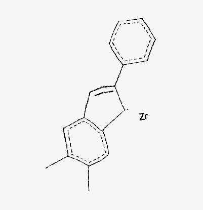 Cc1cc2c(cc1C)C=C(c1ccccc1)[CH]2.[Zr]